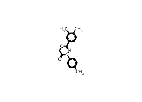 Cc1ccc(N2N=C(c3ccc(C)c(C)c3)OCC2=O)cc1